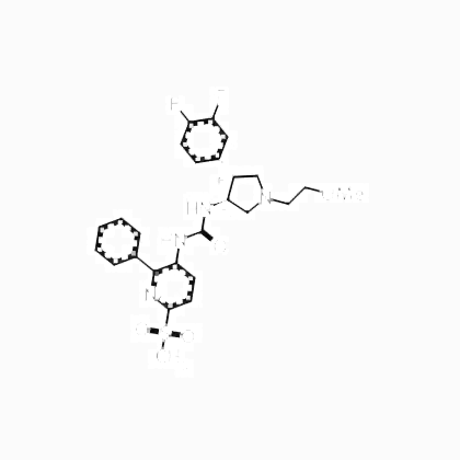 COCCN1C[C@@H](NC(=O)Nc2ccc(S(C)(=O)=O)nc2-c2ccccc2)[C@H](c2ccc(F)c(F)c2)C1